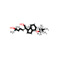 CC(C)(O)CCC[C@@H](CO)C1CCC2[C@@H](O[Si](C)(C)C(C)(C)C)CCC[C@]12C